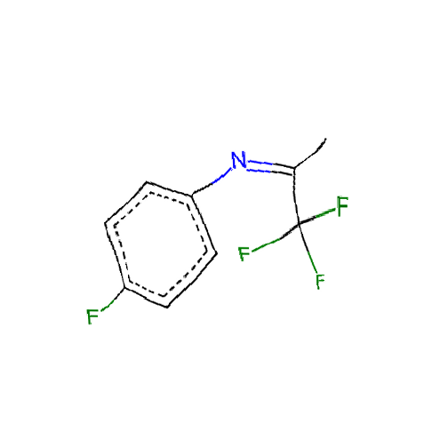 CC(=Nc1ccc(F)cc1)C(F)(F)F